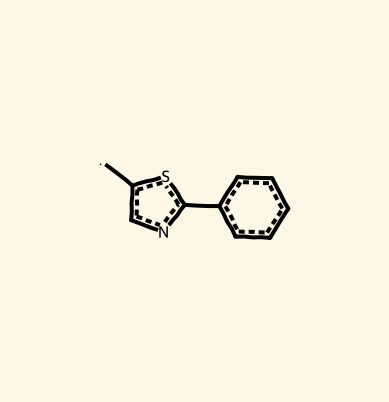 [CH2]c1cnc(-c2ccccc2)s1